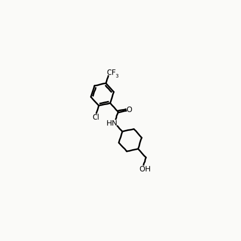 O=C(NC1CCC(CO)CC1)c1cc(C(F)(F)F)ccc1Cl